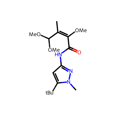 COC(C(=O)Nc1cc(C(C)(C)C)n(C)n1)=C(C)C(OC)OC